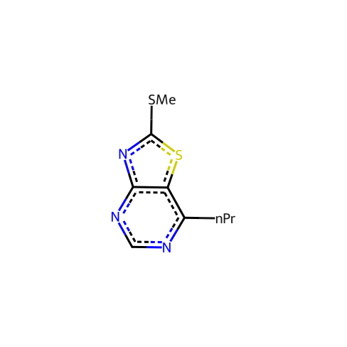 CCCc1ncnc2nc(SC)sc12